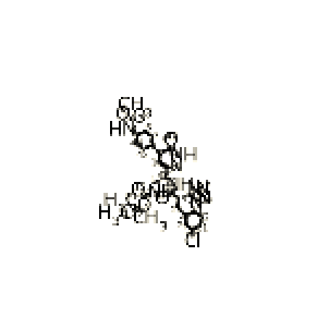 COC(=O)Nc1ccc(-c2cc([C@H](CNC(=O)OC(C)(C)C)NC(=O)/C=C/c3cc(Cl)ccc3-n3cnnn3)n[nH]c2=O)cc1